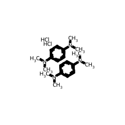 CN(C)c1ccc(N(C)C)cc1.CN(C)c1ccc(N(C)C)cc1.Cl.Cl